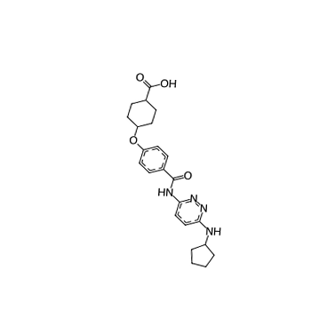 O=C(Nc1ccc(NC2CCCC2)nn1)c1ccc(OC2CCC(C(=O)O)CC2)cc1